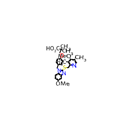 COc1ccc2c(c1)nc(SCc1ncc(C)c(OC)c1C)n2Cc1ccc(OCC(C)(C)C(=O)O)cc1